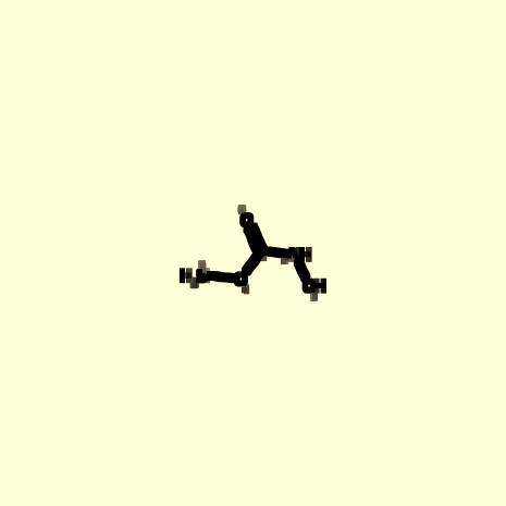 O=C(NO)O[SiH3]